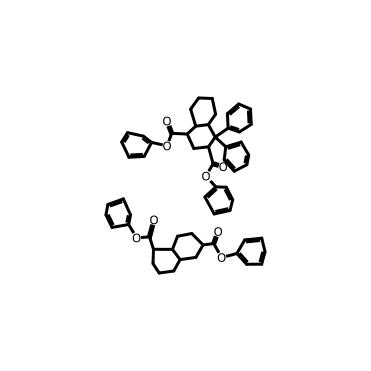 O=C(Oc1ccccc1)C1CC(C(=O)Oc2ccccc2)C(c2ccccc2)(c2ccccc2)C2CCCCC12.O=C(Oc1ccccc1)C1CCC2C(CCCC2C(=O)Oc2ccccc2)C1